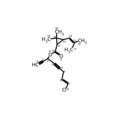 C#CC(C#CC/C=C/Cl)OC(=O)C1C(C=C(C)C)C1(C)C